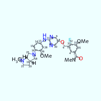 CNC(=O)c1cc(COc2cnc(Nc3ccc(N4C[C@@H]5CCN(C)[C@@H]5C4)c(OC)c3)nc2)c(F)c(OC)c1